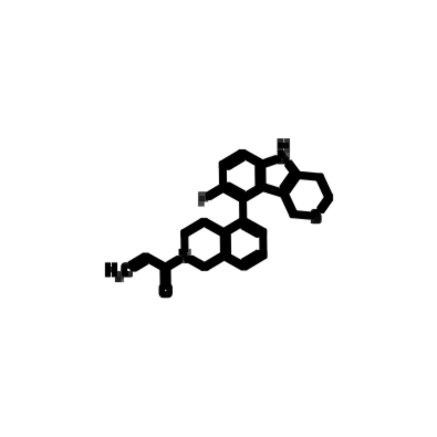 C=CC(=O)N1CCc2c(cccc2-c2c(F)ccc3[nH]c4c(c23)CSCC4)C1